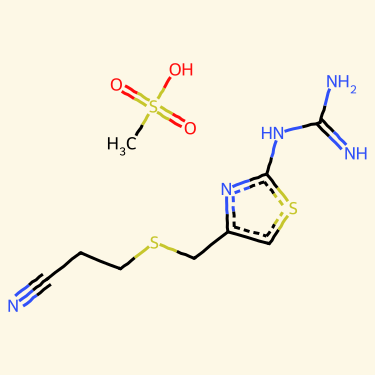 CS(=O)(=O)O.N#CCCSCc1csc(NC(=N)N)n1